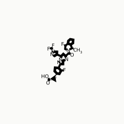 C[C@@H]1c2ccccc2[C@H](F)CN1C(=O)c1cc(-c2cnn(C(F)F)c2)n2nc(-c3ccc([C@H]4C[C@@H]4C(=O)O)cc3F)cc2n1